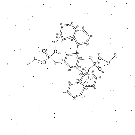 CCOP(=O)(Cc1cc(-c2cccc3ccccc23)c(CP(=O)(OCC)OCC)c(-c2cccc3ccccc23)c1)OCC